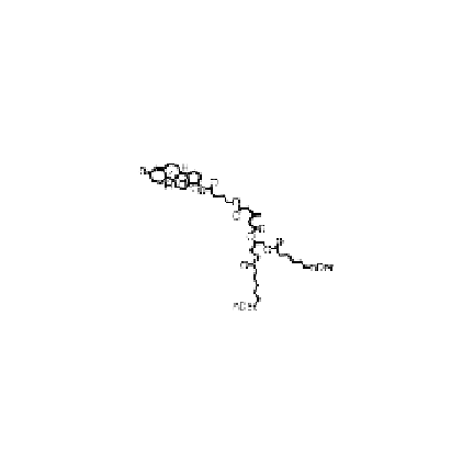 CCCCCCCCCCCCCCCC(=O)OCC(COC(=O)CCCCCCCCCCCCCCC)OC(=O)CC(C)CC(=O)OCCCC(=O)OC1CC[C@H]2[C@@H]3CCC4=CC(=O)CC[C@]4(C)[C@H]3CC[C@]12C